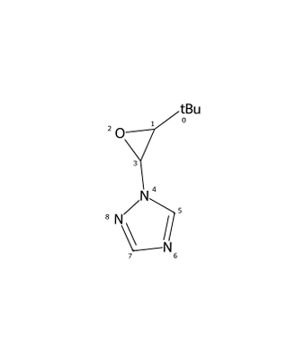 CC(C)(C)C1OC1n1cncn1